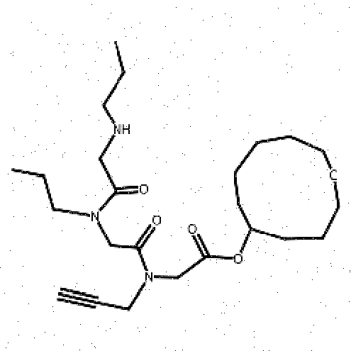 C#CCN(CC(=O)OC1CCCCCCCCC1)C(=O)CN(CCC)C(=O)CNCCC